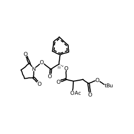 CC(=O)OC(CC(=O)OC(C)(C)C)C(=O)O[C@H](C(=O)ON1C(=O)CCC1=O)c1ccccc1